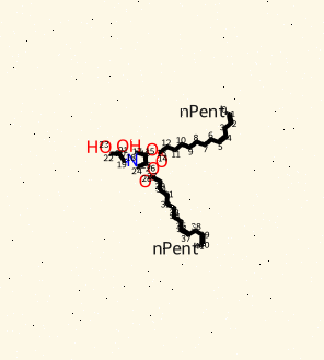 CCCCC/C=C\C/C=C\CCCCCCCC(=O)O[C@@H]1CN(C[C@@H](O)CO)C[C@H]1OC(=O)CCCCCCC/C=C\C/C=C\CCCCC